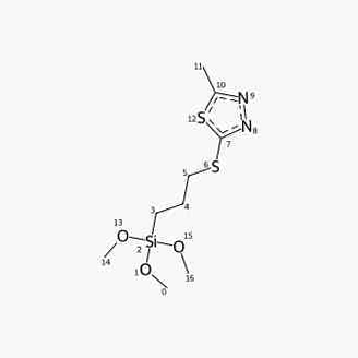 CO[Si](CCCSc1nnc(C)s1)(OC)OC